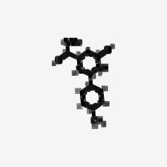 CNC(=O)c1cc(=O)[nH]c(-c2ccc(C)cc2)n1